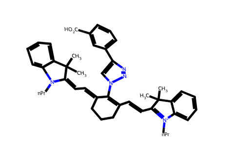 CCCN1/C(=C/C=C2\CCCC(/C=C/C3=[N+](CCC)c4ccccc4C3(C)C)=C2n2cc(-c3cccc(C(=O)O)c3)nn2)C(C)(C)c2ccccc21